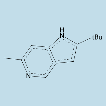 Cc1cc2[nH]c(C(C)(C)C)cc2cn1